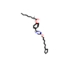 CCCCCC[C@H](C)C(=O)Oc1ccc(-c2ncc(OCCCCCCCC3CCCC3)cn2)cc1